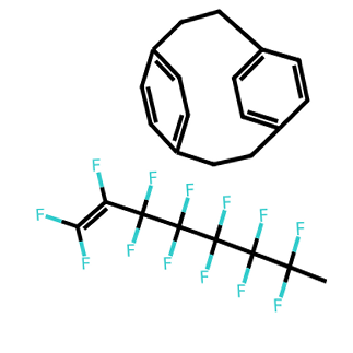 CC(F)(F)C(F)(F)C(F)(F)C(F)(F)C(F)(F)C(F)=C(F)F.c1cc2ccc1CCc1ccc(cc1)CC2